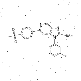 CNc1nc2cnc(-c3ccc(S(C)(=O)=O)cc3)cc2n1-c1cccc(F)c1